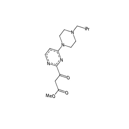 COC(=O)CC(=O)c1nccc(N2CCN(CC(C)C)CC2)n1